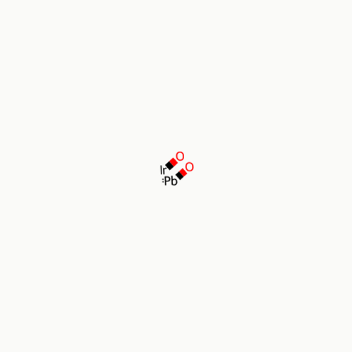 [O]=[Ir].[O]=[Pb]